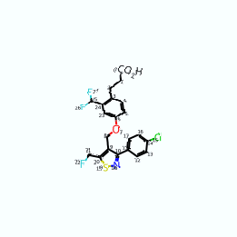 O=C(O)CCc1ccc(OCc2c(-c3ccc(Cl)cc3)nsc2CF)cc1C(F)F